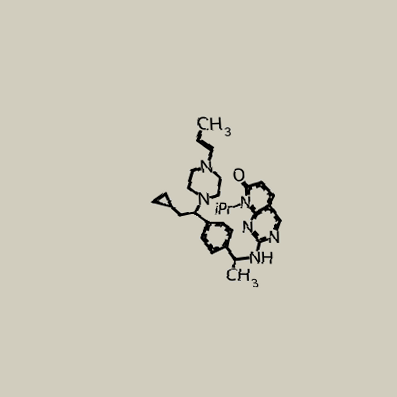 CC=CN1CCN(C(CC2CC2)c2ccc([C@H](C)Nc3ncc4ccc(=O)n(C(C)C)c4n3)cc2)CC1